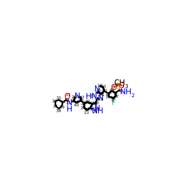 CS(=O)(=O)C(N)c1cc(F)cc(-c2ccnc3[nH]c(-c4n[nH]c5ccc(-c6cncc(NC(=O)C7CCCCC7)c6)cc45)nc23)c1